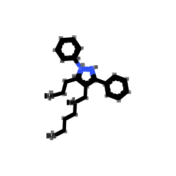 CCCC[AsH]Cc1c(-c2ccccc2)nn(-c2ccccc2)c1CCC